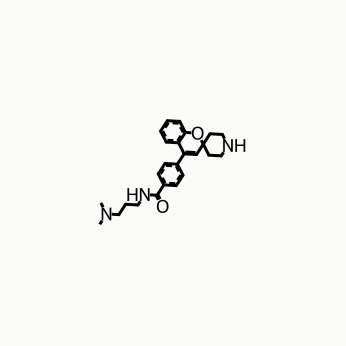 CN(C)CCCNC(=O)c1ccc(C2=CC3(CCNCC3)Oc3ccccc32)cc1